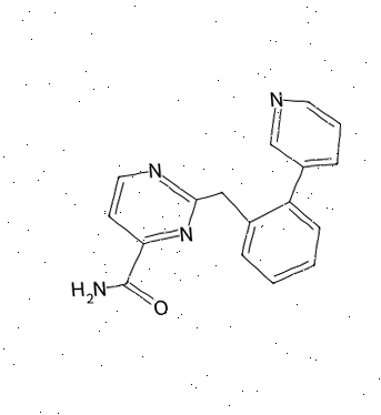 NC(=O)c1ccnc(Cc2ccccc2-c2cccnc2)n1